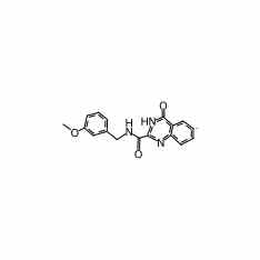 COc1cccc(CNC(=O)c2nc3cc[c]cc3c(=O)[nH]2)c1